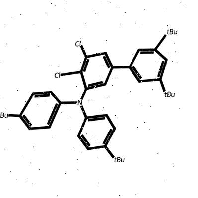 CC(C)(C)c1ccc(N(c2ccc(C(C)(C)C)cc2)c2cc(-c3cc(C(C)(C)C)cc(C(C)(C)C)c3)cc(Cl)c2Cl)cc1